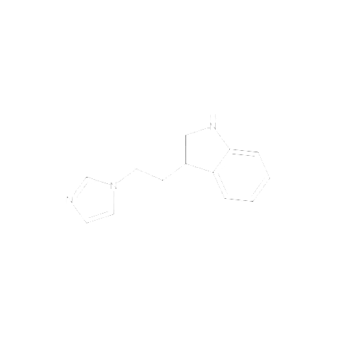 c1ccc2c(c1)NCC2CCn1ccnc1